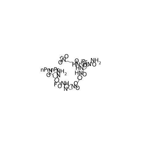 CCCN(CCC)C(=O)C1=Cc2cc(F)c(C(=O)Nc3cnc4c(c3)CN(C(=O)OCc3ccc(NC(=O)C(CCCNC(N)=O)NC(=O)C(NC(=O)CCCCCN5C(=O)C=CC5=O)C(C)C)cc3)CC4)cc2N=C(N)C1